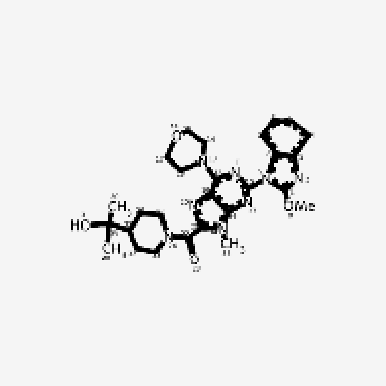 COc1nc2ccccc2n1-c1nc(N2CCOCC2)c2nc(C(=O)N3CCC(C(C)(C)O)CC3)n(C)c2n1